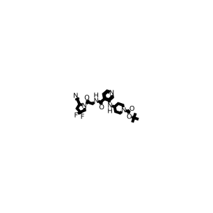 CC(C)(C)OC(=O)N1CCC(Nc2cnccc2C(=O)NCC(=O)N2CC(F)(F)CC2C#N)CC1